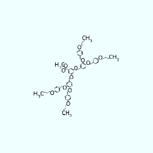 CCCCOc1ccc(COc2ccc(COc3cc(OCc4ccc(OCc5ccc(OCCCC)cc5)c(OCc5ccc(OCCCC)cc5)c4)cc(C(=O)OC)c3)cc2OCc2ccc(OCCCC)cc2)cc1